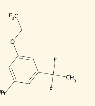 CC(C)c1cc(OCC(F)(F)F)cc(C(C)(F)F)c1